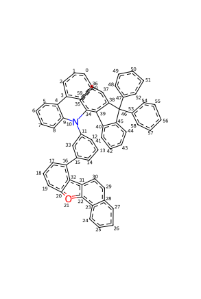 c1ccc(-c2ccccc2N(c2cccc(-c3cccc4oc5c6ccccc6ccc5c34)c2)c2cccc3c2-c2ccccc2C3(c2ccccc2)c2ccccc2)cc1